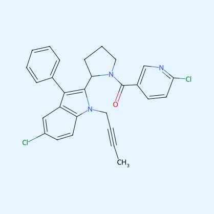 CC#CCn1c(C2CCCN2C(=O)c2ccc(Cl)nc2)c(-c2ccccc2)c2cc(Cl)ccc21